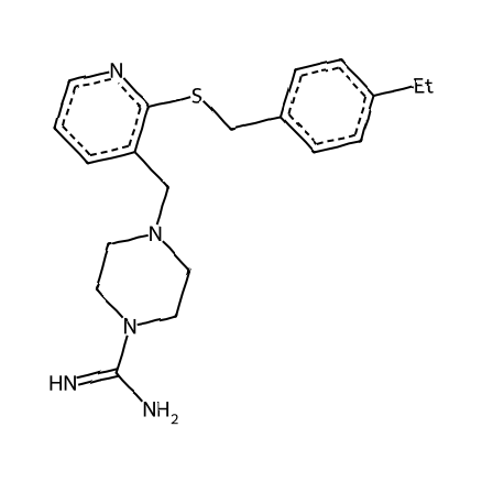 CCc1ccc(CSc2ncccc2CN2CCN(C(=N)N)CC2)cc1